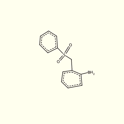 Bc1ccccc1CS(=O)(=O)c1ccccc1